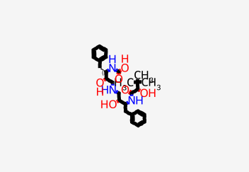 CC(C)(C)C(O)C(=O)NC(Cc1ccccc1)C(O)CNCC(O)[C@H](Cc1ccccc1)NC(=O)O